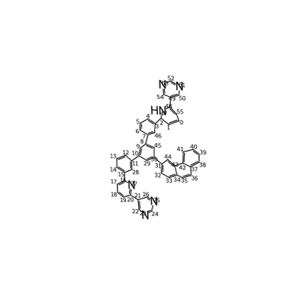 C1=CC(c2cccc(-c3cc(-c4cccc(-c5cccc(-c6cncnc6)n5)c4)cc(-c4ccc5ccc6ccccc6c5c4)c3)c2)NC(c2cncnc2)=C1